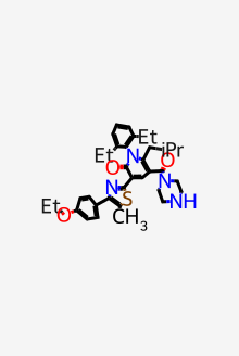 CCOc1ccc(-c2nc(-c3cc(C(=O)N4CCNCC4)c(CC(C)C)n(-c4c(CC)cccc4CC)c3=O)sc2C)cc1